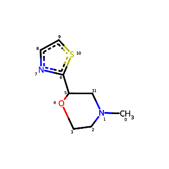 CN1CCOC(c2nccs2)C1